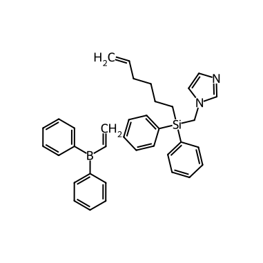 C=CB(c1ccccc1)c1ccccc1.C=CCCCC[Si](Cn1ccnc1)(c1ccccc1)c1ccccc1